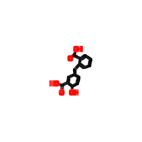 O=C(O)C1=C/C(=C/c2ccccc2C(=O)O)C=CC1O